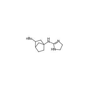 CCCCC1CC2(NC3=NCCN3)CCC1C2